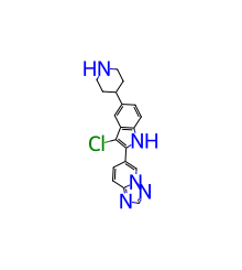 Clc1c(-c2ccc3ncnn3c2)[nH]c2ccc(C3CCNCC3)cc12